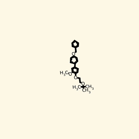 COc1cc(-c2ccc(OCc3ccccc3)cc2)ccc1OCCOC(C)(C)C